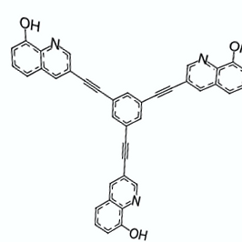 Oc1cccc2cc(C#Cc3cc(C#Cc4cnc5c(O)cccc5c4)cc(C#Cc4cnc5c(O)cccc5c4)c3)cnc12